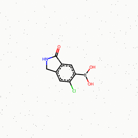 O=C1NCc2cc(Cl)c(B(O)O)cc21